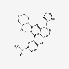 CC1COCCN1c1cc(-c2cc([S+](C)[O-])ccc2F)c2ccnc(-c3ccn[nH]3)c2n1